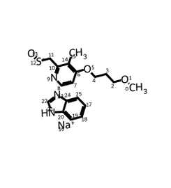 COCCCOc1ccnc(C[S-]=O)c1C.[Na+].c1ccc2[nH]cnc2c1